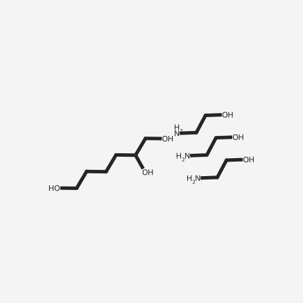 NCCO.NCCO.NCCO.OCCCCC(O)CO